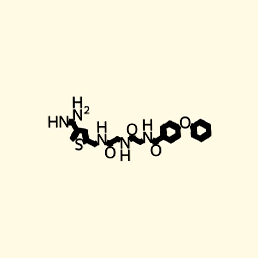 N=C(N)c1csc(CNC(=O)CNC(=O)CNC(=O)c2ccc(Oc3ccccc3)cc2)c1